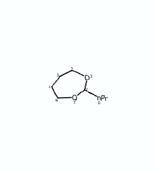 CCCC1OC[CH]CCO1